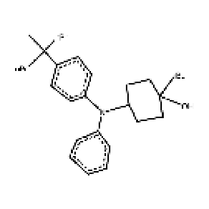 CCCC(C)(CCC)c1ccc(N(c2ccccc2)C2CCC(O)(C(C)CC)CC2)cc1